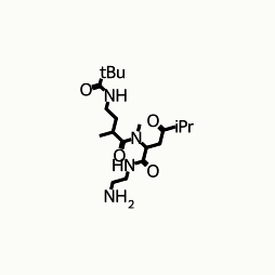 CC(C)C(=O)CC(C(=O)NCCN)N(C)C(=O)C(C)CCNC(=O)C(C)(C)C